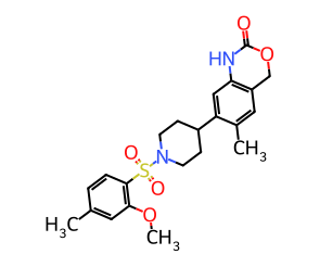 COc1cc(C)ccc1S(=O)(=O)N1CCC(c2cc3c(cc2C)COC(=O)N3)CC1